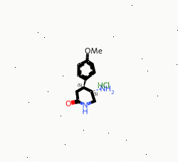 COc1ccc([C@@H]2CC(=O)NC[C@H]2N)cc1.Cl